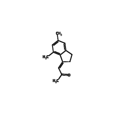 CC(=O)C=C1CCc2cc(C)cc(C)c21